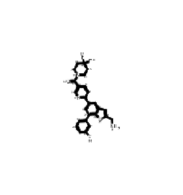 NCc1cc2cc(-c3ccc(C(=O)N4CCC(F)(F)CC4)cn3)cc(-c3cccc(F)c3)c2o1